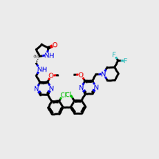 COc1nc(-c2cccc(-c3cccc(-c4cnc(CN5CCCC(C(F)F)C5)c(OC)n4)c3Cl)c2Cl)cnc1CNC[C@@H]1CCC(=O)N1